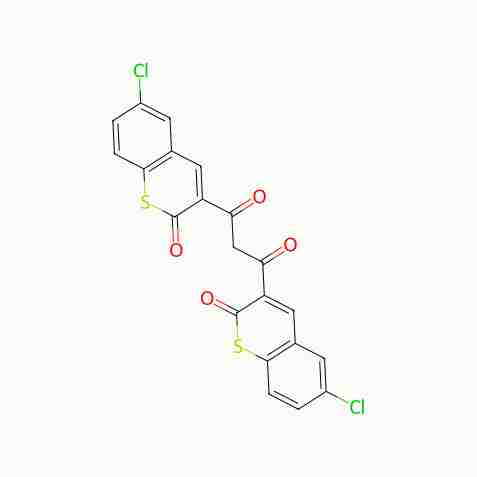 O=C(CC(=O)c1cc2cc(Cl)ccc2sc1=O)c1cc2cc(Cl)ccc2sc1=O